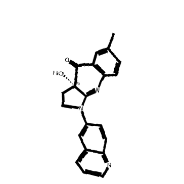 Cc1ccc2c(c1)C(=O)[C@]1(O)CCN(c3ccc4ncccc4c3)C1=N2